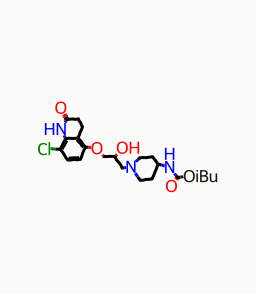 CC(C)COC(=O)NC1CCN(CC(O)COc2ccc(Cl)c3c2CCC(=O)N3)CC1